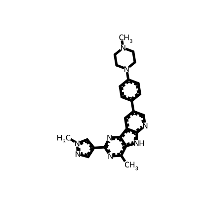 Cc1nc(-c2cnn(C)c2)nc2c1[nH]c1ncc(-c3ccc(N4CCN(C)CC4)cc3)cc12